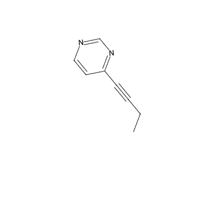 CCC#Cc1ccncn1